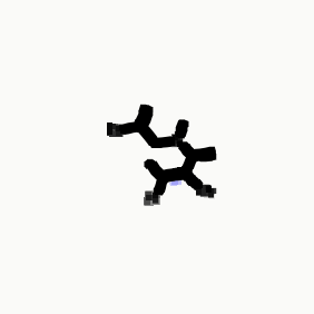 C=C(CC)CN(C)C(=C)/C(CCC)=C(\C)CC